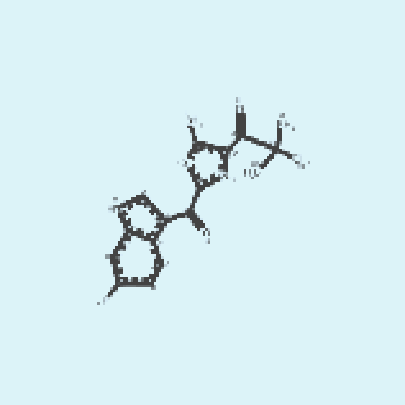 Bc1sc(C(=O)c2c[nH]c3cc(F)ccc23)nc1C(=O)C(B)(B)C